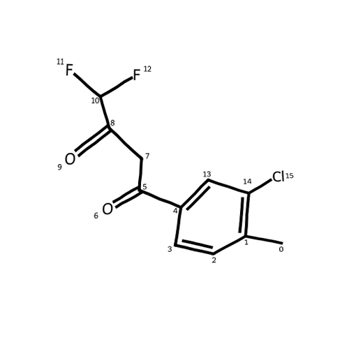 Cc1ccc(C(=O)CC(=O)C(F)F)cc1Cl